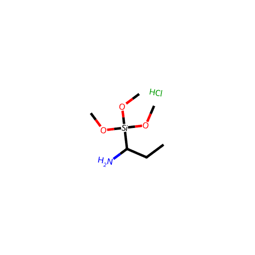 CCC(N)[Si](OC)(OC)OC.Cl